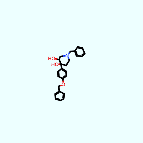 OC1CN(Cc2ccccc2)CCC1(O)c1ccc(OCc2ccccc2)cc1